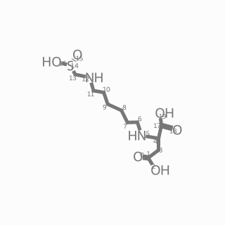 O=C(O)CC(NCCCCCCNCS(=O)O)C(=O)O